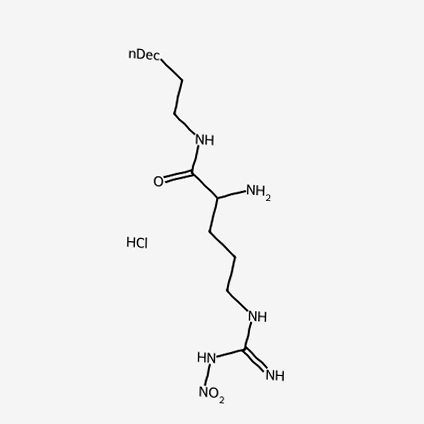 CCCCCCCCCCCCNC(=O)C(N)CCCNC(=N)N[N+](=O)[O-].Cl